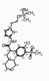 CC(C)(C)[Si](C)(C)OCCn1ccc(NC(=O)C(CC2CCOCC2)c2ccc(S(C)(=O)=O)c(Cl)c2)n1